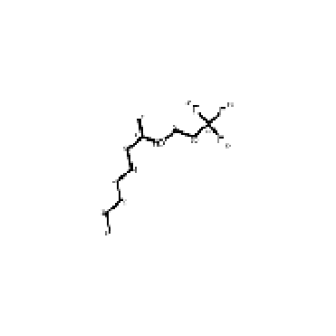 CCCCCCC(C)OCCC(F)(F)F